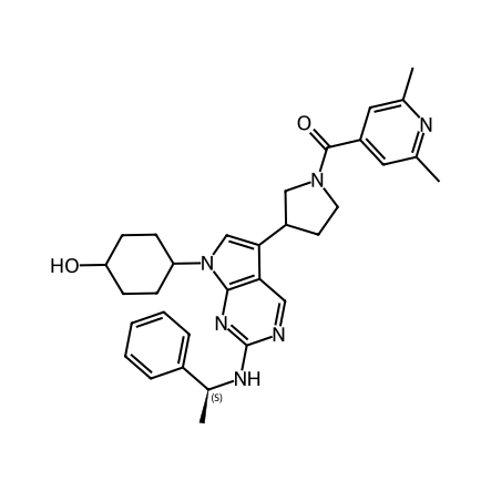 Cc1cc(C(=O)N2CCC(c3cn(C4CCC(O)CC4)c4nc(N[C@@H](C)c5ccccc5)ncc34)C2)cc(C)n1